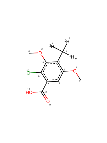 [2H]C([2H])([2H])c1c(OC)cc(C(=O)O)c(Cl)c1OC